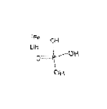 O=P(O)(O)O.[3Fe].[LiH]